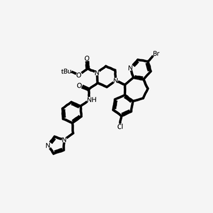 CC(C)(C)OC(=O)N1CCN(C2c3ccc(Cl)cc3CCc3cc(Br)cnc32)CC1C(=O)Nc1cccc(Cn2ccnc2)c1